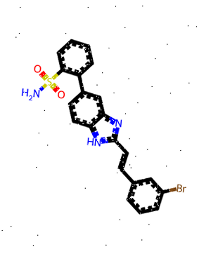 NS(=O)(=O)c1ccccc1-c1ccc2[nH]c(C=Cc3cccc(Br)c3)nc2c1